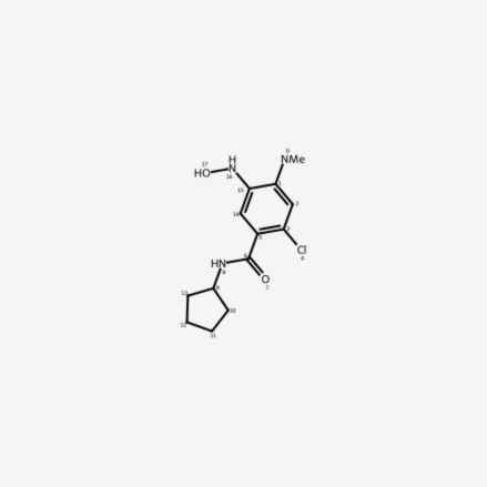 CNc1cc(Cl)c(C(=O)NC2CCCC2)cc1NO